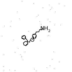 NCCCCc1ccc(OCCC2(Cc3ccccc3)C=CCCC2)cc1